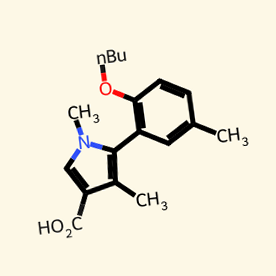 CCCCOc1ccc(C)cc1-c1c(C)c(C(=O)O)cn1C